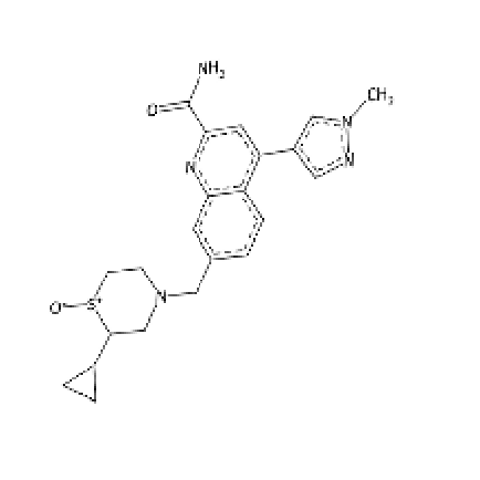 Cn1cc(-c2cc(C(N)=O)nc3cc(CN4CC[S+]([O-])C(C5CC5)C4)ccc23)cn1